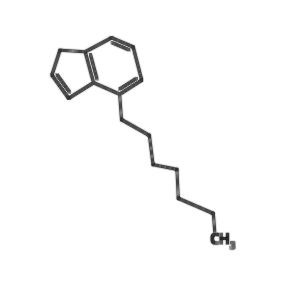 CCCCCCCc1cccc2c1C=CC2